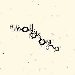 COc1ccc(Nc2nccc(Sc3cccc(NC(=O)CCCl)c3)n2)cc1